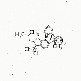 CC(C)CC1=Cc2c(ccc(C(C)(C)C)c2-c2ccccc2-c2ccccc2)[CH]1[Zr]([Cl])[Cl]